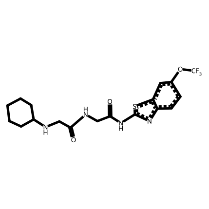 O=C(CNC1CCCCC1)NCC(=O)Nc1nc2ccc(OC(F)(F)F)cc2s1